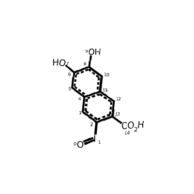 O=Ic1cc2cc(O)c(O)cc2cc1C(=O)O